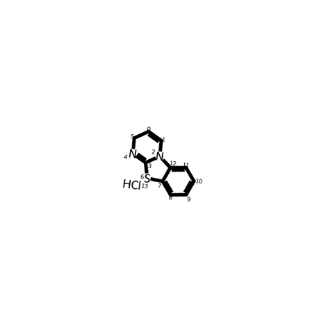 C1=CN2C(=NC1)Sc1ccccc12.Cl